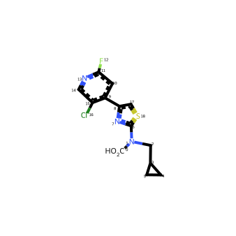 O=C(O)N(CC1CC1)c1nc(-c2cc(F)ncc2Cl)cs1